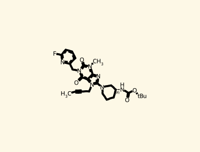 CC#CCn1c(N2CCC[C@@H](NC(=O)OC(C)(C)C)C2)nc2c1c(=O)n(Cc1cccc(F)n1)c(=O)n2C